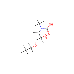 CC(N(C(=O)O)C(C)(C)C)C(C)(O)CO[Si](C)(C)C(C)(C)C